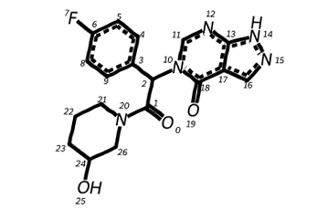 O=C(C(c1ccc(F)cc1)n1cnc2[nH]ncc2c1=O)N1CCCC(O)C1